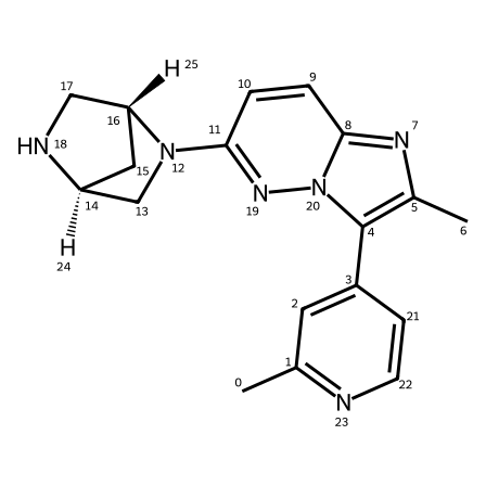 Cc1cc(-c2c(C)nc3ccc(N4C[C@@H]5C[C@@H]4CN5)nn23)ccn1